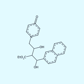 CCOC(=O)C(C(O)Cn1ccc(=O)cc1)C(O)c1ccc2ccccc2c1